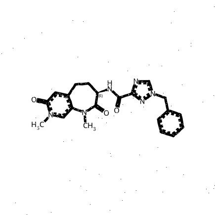 CN1C(=O)[C@H](NC(=O)c2ncn(Cc3ccccc3)n2)CCc2cc(=O)n(C)cc21